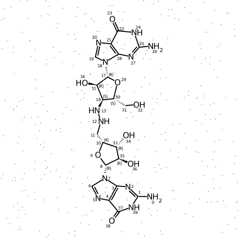 Nc1nc2c(ncn2[C@@H]2O[C@H](CNN[C@H]3[C@@H](O)[C@H](n4cnc5c(=O)[nH]c(N)nc54)O[C@@H]3CO)[C@H](O)[C@H]2O)c(=O)[nH]1